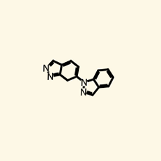 C1=NN=C2CC(n3ncc4ccccc43)=CC=C12